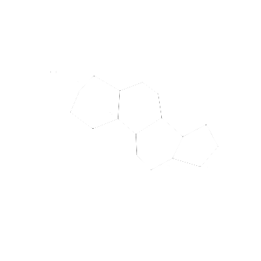 C[C@H]1CCC2C3CCC4C[C@@H](O)CC[C@]4(C)C3CC[C@@]21C